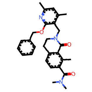 Cc1cc(C)c(CN2CCc3ccc(C(=O)N(C)C)c(C)c3C2=O)c(OCc2ccccc2)n1